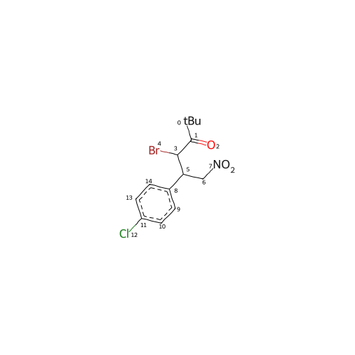 CC(C)(C)C(=O)C(Br)C(C[N+](=O)[O-])c1ccc(Cl)cc1